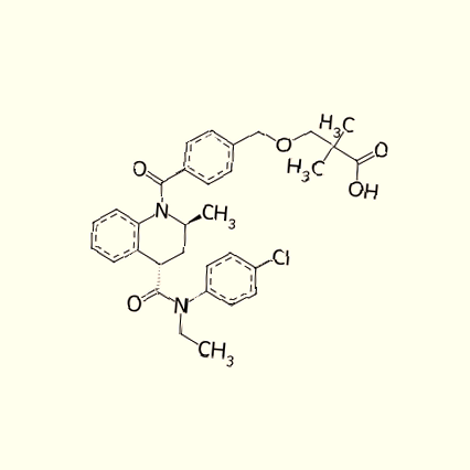 CCN(C(=O)[C@H]1C[C@H](C)N(C(=O)c2ccc(COCC(C)(C)C(=O)O)cc2)c2ccccc21)c1ccc(Cl)cc1